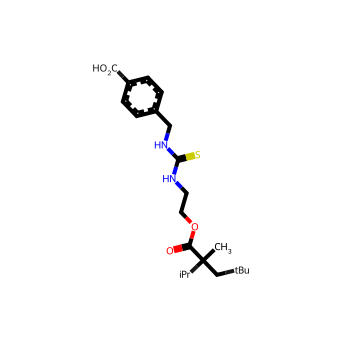 CC(C)C(C)(CC(C)(C)C)C(=O)OCCNC(=S)NCc1ccc(C(=O)O)cc1